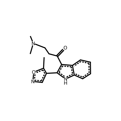 Cc1oncc1-c1[nH]c2ccccc2c1C(=O)CCN(C)C